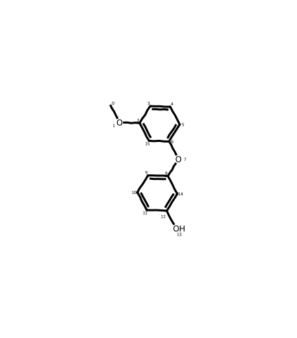 COc1cccc(Oc2cccc(O)c2)c1